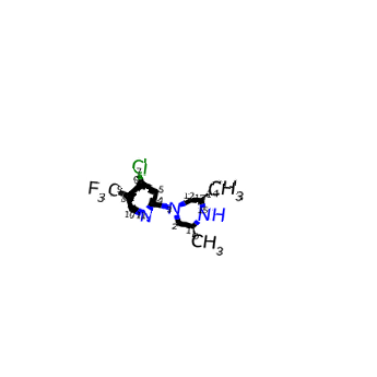 C[C@@H]1CN(c2cc(Cl)c(C(F)(F)F)cn2)C[C@H](C)N1